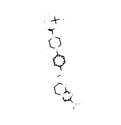 C[C@@H]1CN(C(=O)OC(C)(C)C)CCN1c1ccc(OC[C@H]2CCn3cc([N+](=O)[O-])nc3O2)cc1